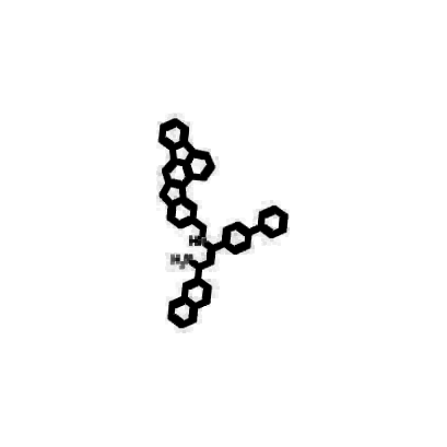 NC(/C=C(\NCc1ccc2c(c1)-c1c(cc3c4c(cccc14)-c1ccccc1-3)C2)c1ccc(-c2ccccc2)cc1)c1ccc2ccccc2c1